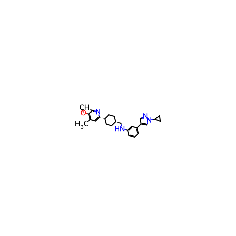 COc1cnc([C@H]2CC[C@H](CNc3cccc(-c4cnn(C5CC5)c4)c3)CC2)cc1C